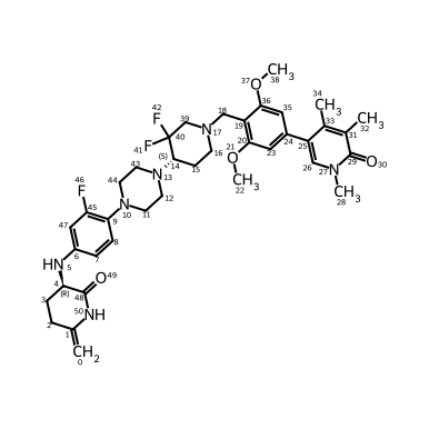 C=C1CC[C@@H](Nc2ccc(N3CCN([C@H]4CCN(Cc5c(OC)cc(-c6cn(C)c(=O)c(C)c6C)cc5OC)CC4(F)F)CC3)c(F)c2)C(=O)N1